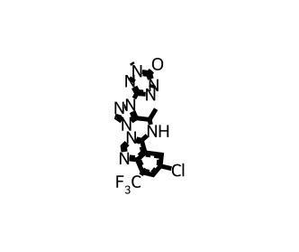 CC(Nc1ncnc2c(C(F)(F)F)cc(Cl)cc12)c1ncnn1-c1nnc(=O)n(C)n1